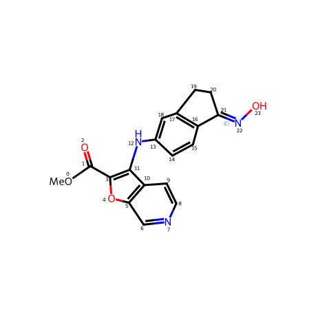 COC(=O)c1oc2cnccc2c1Nc1ccc2c(c1)CC/C2=N\O